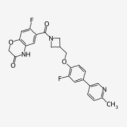 Cc1ccc(-c2ccc(OCC3CN(C(=O)c4cc5c(cc4F)OCC(=O)N5)C3)c(F)c2)cn1